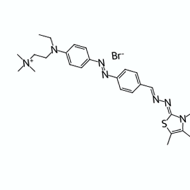 CCN(CC[N+](C)(C)C)c1ccc(/N=N/c2ccc(/C=N/N=c3\sc(C)c(C)n3C)cc2)cc1.[Br-]